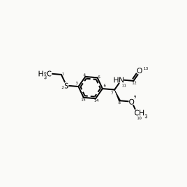 CCSc1ccc([C@H](COC)NC=O)cc1